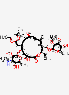 CCOC(C[C@H]1C[C@@H](C)C(=O)/C=C/C(C)=C/[C@H](COC2O[C@H](C)[C@@H](O)[C@@H](OC)[C@H]2OC)[C@@H](CC)OC(=O)C[C@@H](O)[C@H](C)[C@H]1O[C@@H]1O[C@H](C)[C@@H](O)[C@H](NC)[C@H]1O)OCC